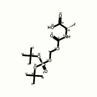 C[C@H](NC(=O)OCOP(=O)(OC(C)(C)C)OC(C)(C)C)C(=O)O